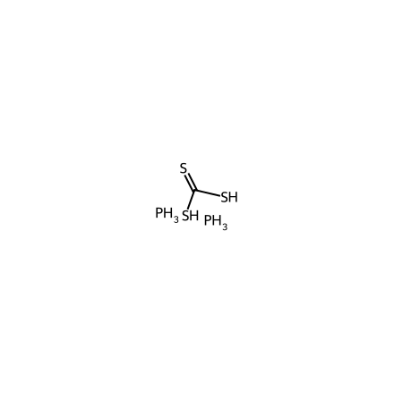 P.P.S=C(S)S